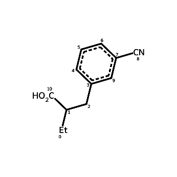 CCC(Cc1cccc(C#N)c1)C(=O)O